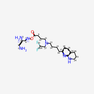 N/C=C(N)\C=N\OC(=O)CCCN(CCCCc1ccc2c(n1)NCCC2)CC(F)F